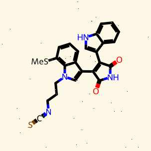 CSc1cccc2c(C3=C(c4c[nH]c5ccccc45)C(=O)NC3=O)cn(CCCN=C=S)c12